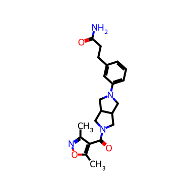 Cc1noc(C)c1C(=O)N1CC2CN(c3cccc(CCC(N)=O)c3)CC2C1